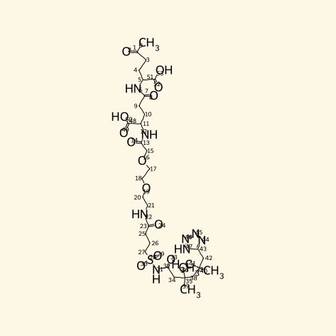 CC(=O)CCC(NC(=O)CCC(NC(=O)COCCOCCNC(=O)CCCS(=O)(=O)NC(=O)CC(C)(C)CC(C)(C)Cc1nnn[nH]1)C(=O)O)C(=O)O